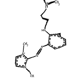 CN(C)CCNc1ccccc1/N=N/c1n(C)cc[n+]1C